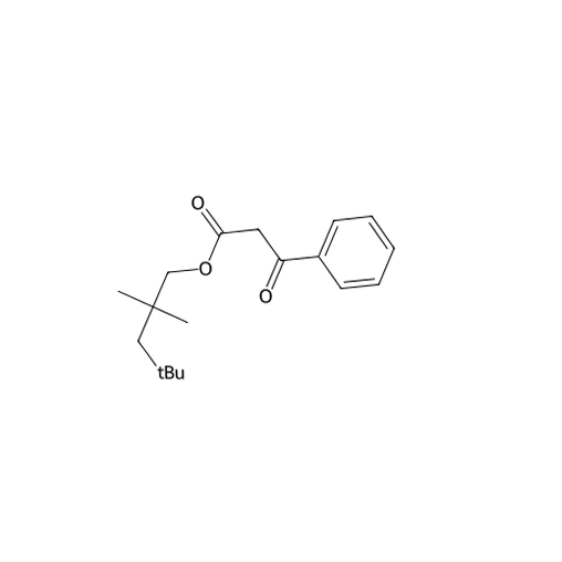 CC(C)(C)CC(C)(C)COC(=O)CC(=O)c1ccccc1